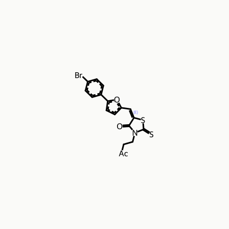 CC(=O)CCN1C(=O)/C(=C\c2ccc(-c3ccc(Br)cc3)o2)SC1=S